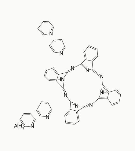 [AlH3].c1ccc2c(c1)-c1nc-2nc2[nH]c(nc3nc(nc4[nH]c(n1)c1ccccc41)-c1ccccc1-3)c1ccccc21.c1ccncc1.c1ccncc1.c1ccncc1.c1ccncc1